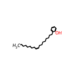 CCCCCCCC/C=C\CCCCCCCCc1ccccc1O